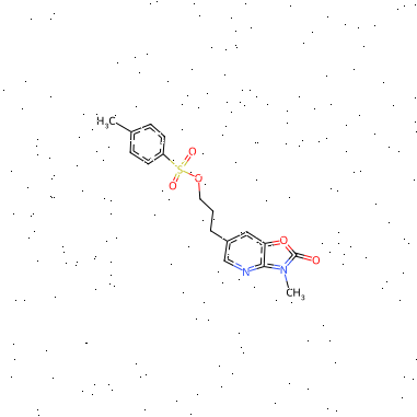 Cc1ccc(S(=O)(=O)OCCCc2cnc3c(c2)oc(=O)n3C)cc1